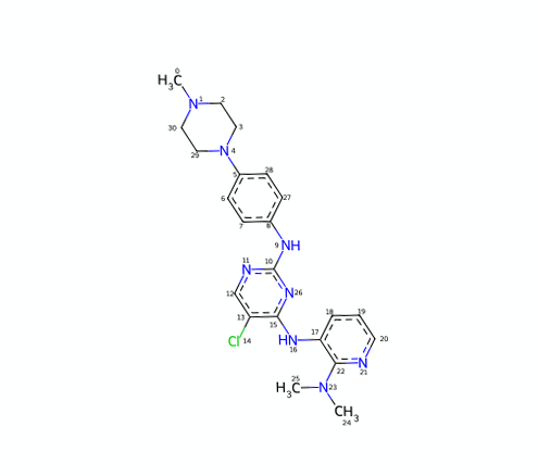 CN1CCN(c2ccc(Nc3ncc(Cl)c(Nc4cccnc4N(C)C)n3)cc2)CC1